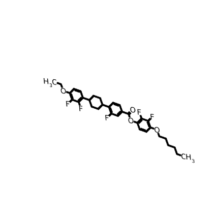 CCCCCCOc1ccc(OC(=O)c2ccc(C3CCC(c4ccc(OCC)c(F)c4F)CC3)c(F)c2)c(F)c1F